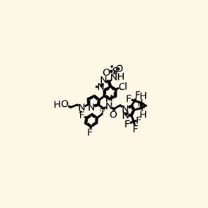 CN(CCO)c1ccc(-c2ccc(Cl)c3c(NS(C)(=O)=O)nn(C)c23)c([C@H](Cc2cc(F)cc(F)c2)NC(=O)Cn2nc(C(F)(F)F)c3c2C(F)(F)[C@@H]2C[C@H]32)n1